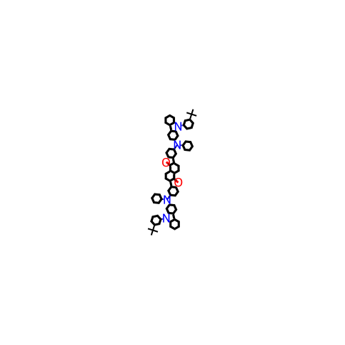 CC(C)(C)c1cccc(-n2c3ccccc3c3ccc(N(c4ccccc4)c4ccc5oc6c(ccc7c6ccc6c8cc(N(c9ccccc9)c9ccc%10c%11ccccc%11n(-c%11cccc(C(C)(C)C)c%11)c%10c9)ccc8oc67)c5c4)cc32)c1